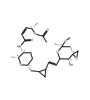 CO[C@@]1(C)C[C@@]2(CO2)[C@H](O)C(/C=C/C2CC2C[C@H]2CC[C@@H](NC(=O)/C=C\[C@H](C)OC(C)=O)[C@@H](C)O2)O1